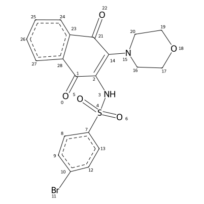 O=C1C(NS(=O)(=O)c2ccc(Br)cc2)=C(N2CCOCC2)C(=O)c2ccccc21